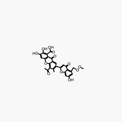 COOCc1cc(O)cc2oc(-c3cc4c(=O)c5c(C(=O)O)c(O)c(O)cc5oc4c(C(C)=O)c3C)cc(=O)c12